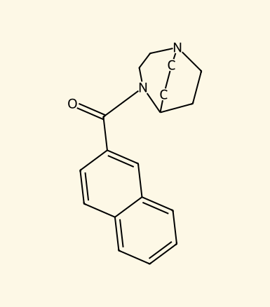 O=C(c1ccc2ccccc2c1)N1CCN2CCC1CC2